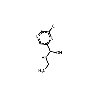 CCNC(O)c1cncc(Cl)n1